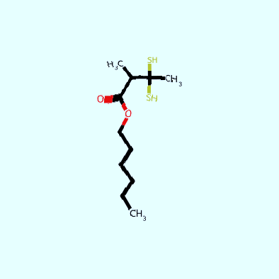 CCCCCCOC(=O)C(C)C(C)(S)S